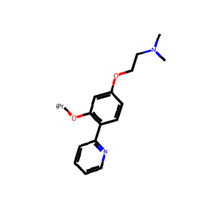 CC(C)Oc1cc(OCCN(C)C)ccc1-c1ccc[c]n1